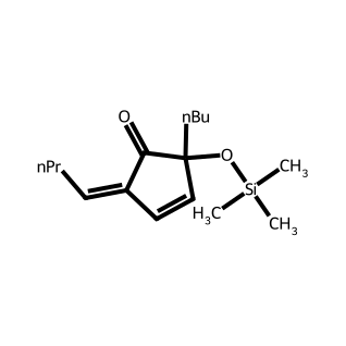 CCCC=C1C=CC(CCCC)(O[Si](C)(C)C)C1=O